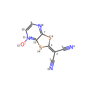 N#CC(C#N)=C1Sc2ncc[n+]([O-])c2S1